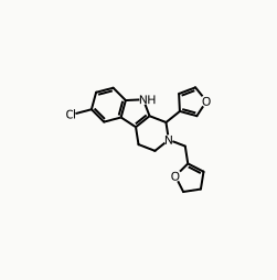 Clc1ccc2[nH]c3c(c2c1)CCN(CC1=CCCO1)C3c1ccoc1